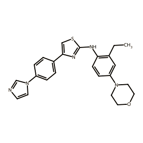 CCc1cc(N2CCOCC2)ccc1Nc1nc(-c2ccc(-n3ccnc3)cc2)cs1